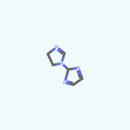 [C]1=NCCN1C1N=CC=N1